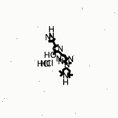 CC1(C)CC(n2cnc3cc(-c4ncc(-c5cn[nH]c5)cc4O)nnc32)CC(C)(C)N1.Cl.Cl